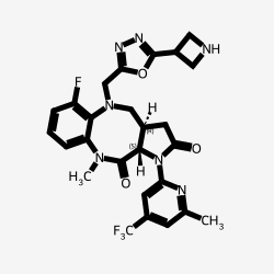 Cc1cc(C(F)(F)F)cc(N2C(=O)C[C@@H]3CN(Cc4nnc(C5CNC5)o4)c4c(F)cccc4N(C)C(=O)[C@H]32)n1